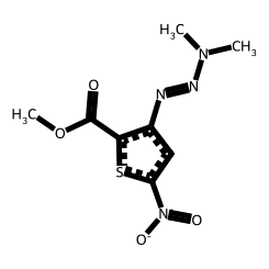 COC(=O)c1sc([N+](=O)[O-])cc1N=NN(C)C